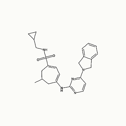 CC1CC(Nc2nccc(N3Cc4ccccc4C3)n2)=CC=C(S(=O)(=O)NCC2CC2)C1